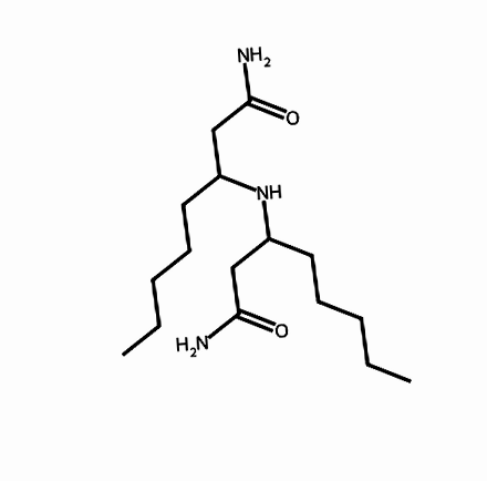 CCCCCC(CC(N)=O)NC(CCCCC)CC(N)=O